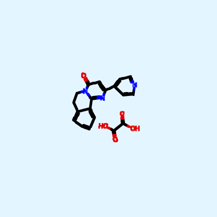 O=C(O)C(=O)O.O=c1cc(-c2ccncc2)nc2n1CCc1ccccc1-2